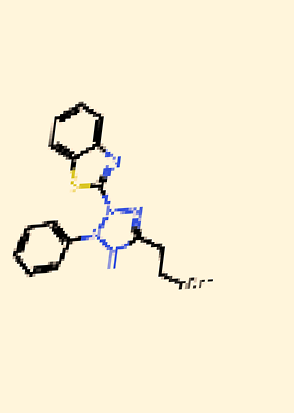 CCCCCCCCCCCCC1=NN(c2nc3ccccc3s2)N(c2ccccc2)N1